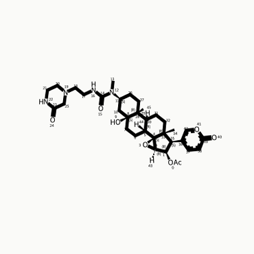 CC(=O)O[C@H]1[C@H]2O[C@]23[C@@H]2CC[C@]4(O)C[C@@H](N(C)C(=O)NCCN5CCNC(=O)C5)CC[C@]4(C)[C@H]2CC[C@]3(C)[C@H]1c1ccc(=O)oc1